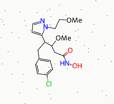 COCCn1nccc1C(Cc1ccc(Cl)cc1)C(CC(=O)NO)OC